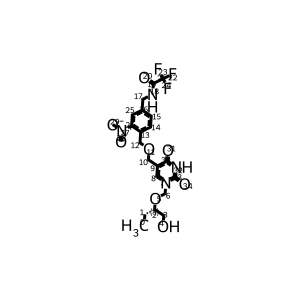 CC[C@@H](CO)OCn1cc(COCc2ccc(CNC(=O)C(F)(F)F)cc2[N+](=O)[O-])c(=O)[nH]c1=O